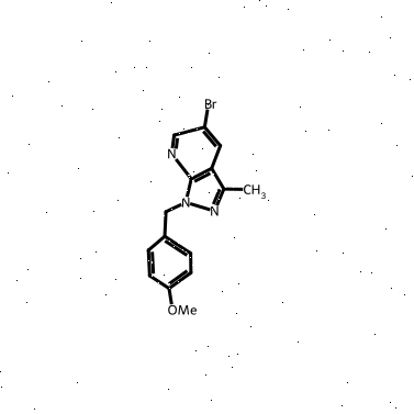 COc1ccc(Cn2nc(C)c3cc(Br)cnc32)cc1